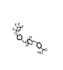 O=C(O)c1ccc(CN2C[C@@H]3C[C@H]2CN3Cc2ccc(OC(F)(F)C(F)C(F)(F)F)cc2)cc1